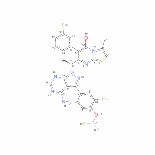 Cc1csc2nc([C@H](C)n3nc(-c4ccc(OC(F)F)c(F)c4)c4c(N)ncnc43)c(-c3cccc(F)c3)c(=O)n12